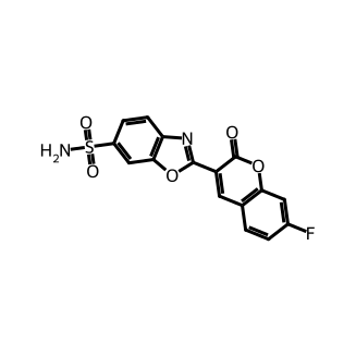 NS(=O)(=O)c1ccc2nc(-c3cc4ccc(F)cc4oc3=O)oc2c1